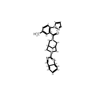 Cc1ccc(-n2cccn2)c(C(=O)N2CC3CC(C2)CN(c2ncc4ccccc4n2)C3)c1